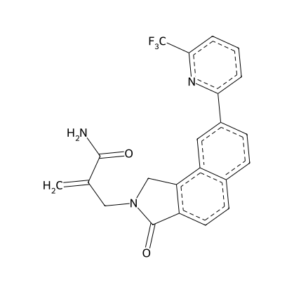 C=C(CN1Cc2c(ccc3ccc(-c4cccc(C(F)(F)F)n4)cc23)C1=O)C(N)=O